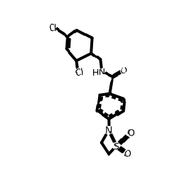 O=C(NCC1CCC(Cl)=CC1Cl)c1ccc(N2CCS2(=O)=O)cc1